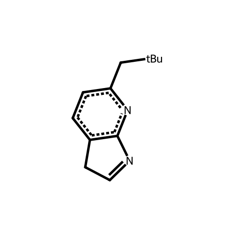 CC(C)(C)Cc1ccc2c(n1)N=CC2